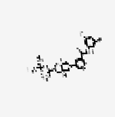 CC(C)(C)OC(=O)N1C[C@@H]2CN(c3cncc(C(=S)Nc4cc(F)cc(F)c4)c3)C[C@@H]2C1